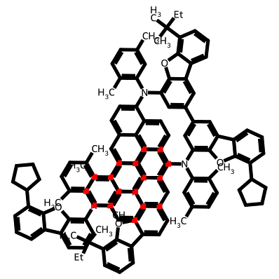 CCC(C)(C)c1cccc2c1oc1c(N(c3cc(C)ccc3C)c3ccc4ccc5c(N(c6cc(C)ccc6C)c6cc(-c7cc(N(c8cc(C)ccc8C)c8ccc9ccc%10c(N(c%11cc(C)ccc%11C)c%11cccc%12c%11oc%11c(C%13CCCC%13)cccc%11%12)ccc%11ccc8c9c%11%10)c8oc9c(C%10CCCC%10)cccc9c8c7)cc7c6oc6c(C(C)(C)CC)cccc67)ccc6ccc3c4c65)cccc12